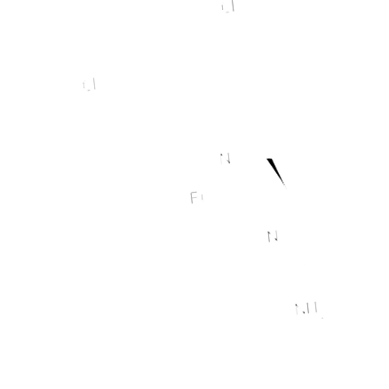 CCN(C[C@H]1CCC(N)=N1)c1cc(Cl)cc(Cl)c1